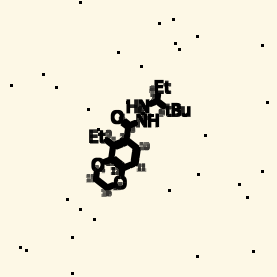 CCc1c(C(=O)NNC(CC)C(C)(C)C)ccc2c1OCCO2